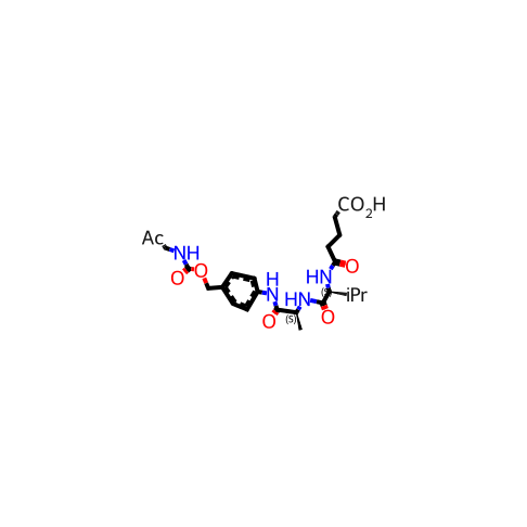 CC(=O)CNC(=O)OCc1ccc(NC(=O)[C@H](C)NC(=O)[C@@H](NC(=O)CCCC(=O)O)C(C)C)cc1